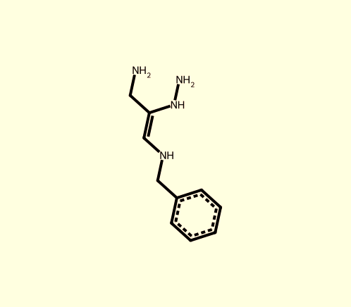 NC/C(=C/NCc1ccccc1)NN